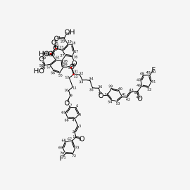 O=C(C=Cc1ccc(OCCCCCCOc2ccc(C(=O)O)c(C(=O)O)c2-c2c(OCCCCCCOc3ccc(C=CC(=O)c4ccc(F)cc4)cc3)ccc(C(=O)O)c2C(=O)O)cc1)c1ccc(F)cc1